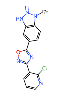 CC(C)N1NNc2cc(-c3nc(-c4cccnc4Cl)no3)ccc21